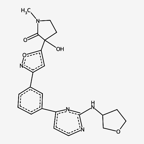 CN1CCC(O)(c2cc(-c3cccc(-c4ccnc(NC5CCOC5)n4)c3)no2)C1=O